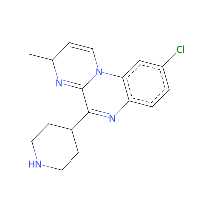 CC1C=CN2C(=N1)C(C1CCNCC1)=Nc1ccc(Cl)cc12